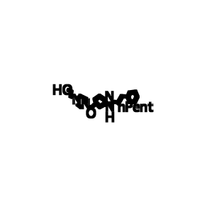 CCCCC/C(=C\c1ccccc1)c1nc2ccc(C(=O)N3CCN(CCO)CC3)cc2[nH]1